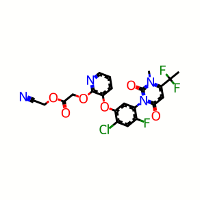 Cn1c(C(C)(F)F)cc(=O)n(-c2cc(Oc3cccnc3OCC(=O)OCC#N)c(Cl)cc2F)c1=O